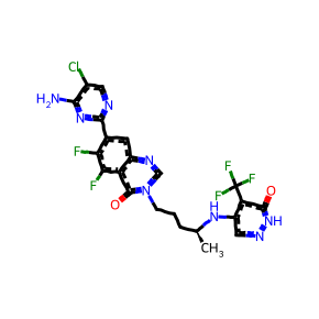 C[C@@H](CCCn1cnc2cc(-c3ncc(Cl)c(N)n3)c(F)c(F)c2c1=O)Nc1cn[nH]c(=O)c1C(F)(F)F